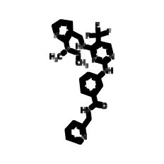 CSN(C)c1ncccc1CNc1nc(Nc2cccc(C(=O)NCc3ccccn3)c2)ncc1C(F)(F)F